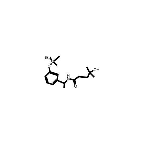 CC(NC(=O)CCC(C)(C)O)c1cccc(O[Si](C)(C)C(C)(C)C)c1